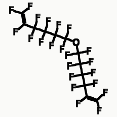 FC(F)=C(F)C(F)(F)C(F)(F)C(F)(F)C(F)(F)OC(F)(F)C(F)(F)C(F)(F)C(F)(F)C(F)=C(F)F